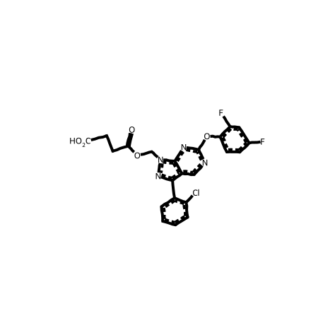 O=C(O)CCC(=O)OCn1nc(-c2ccccc2Cl)c2cnc(Oc3ccc(F)cc3F)nc21